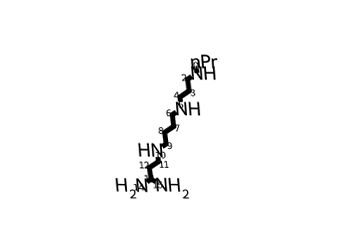 CCCNCCCNCCCCNCCC(N)N